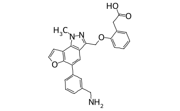 Cn1nc(COc2ccccc2CC(=O)O)c2cc(-c3cccc(CN)c3)c3occc3c21